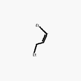 CC/[C]=C\CCC